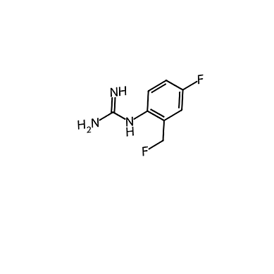 N=C(N)Nc1ccc(F)cc1CF